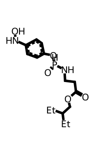 CCC(CC)COC(=O)CCN[PH](=O)Oc1ccc(NO)cc1